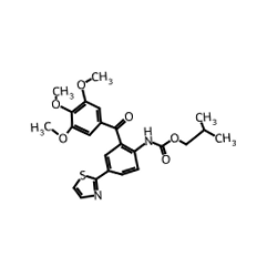 COc1cc(C(=O)c2cc(-c3nccs3)ccc2NC(=O)OCC(C)C)cc(OC)c1OC